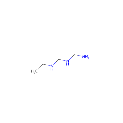 CCNCNCN